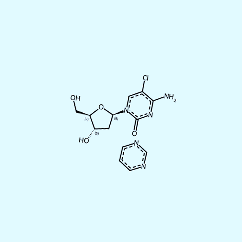 Nc1nc(=O)n([C@H]2C[C@H](O)[C@@H](CO)O2)cc1Cl.c1cncnc1